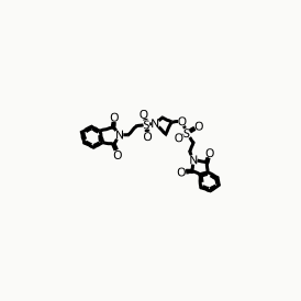 O=C1c2ccccc2C(=O)N1CCS(=O)(=O)OC1CN(S(=O)(=O)CCN2C(=O)c3ccccc3C2=O)C1